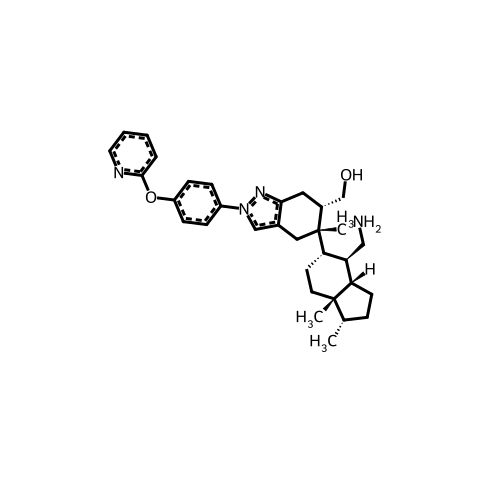 C[C@H]1CC[C@H]2[C@H](CN)[C@@H]([C@]3(C)Cc4cn(-c5ccc(Oc6ccccn6)cc5)nc4C[C@@H]3CO)CC[C@@]12C